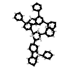 c1ccc(-c2cc(-c3ccccc3)c3sc4c(-c5ccccc5)ccc(-c5nc(-c6ccccc6)nc(-c6ccc7c8ccccc8n(-c8ccccc8)c7c6)n5)c4c3c2)cc1